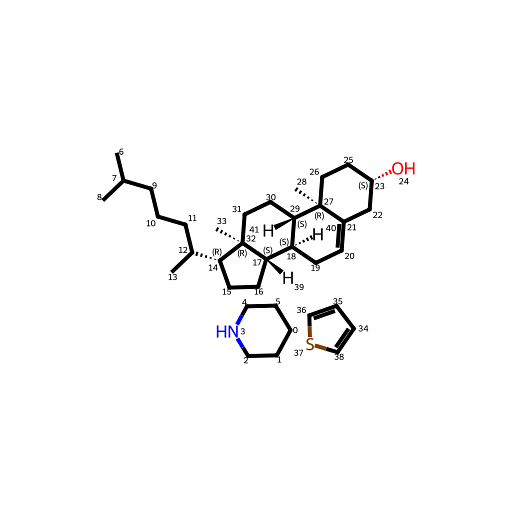 C1CCNCC1.CC(C)CCCC(C)[C@H]1CC[C@H]2[C@@H]3CC=C4C[C@@H](O)CC[C@]4(C)[C@H]3CC[C@]12C.c1ccsc1